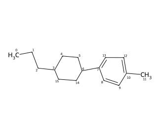 CCCC1CCC(c2ccc(C)cc2)CC1